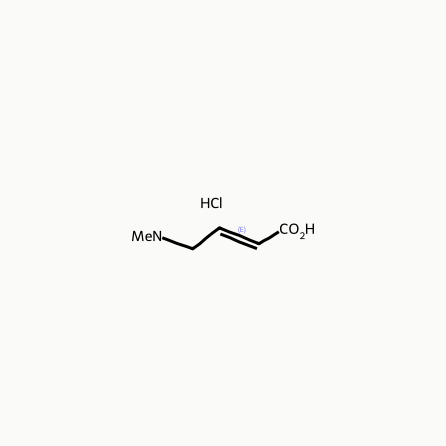 CNC/C=C/C(=O)O.Cl